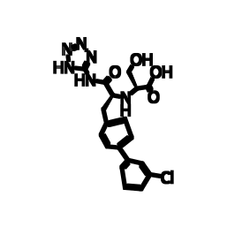 O=C(O)[C@H](CO)N[C@@H](Cc1ccc(-c2cccc(Cl)c2)cc1)C(=O)Nc1nnn[nH]1